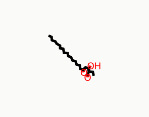 CCCCCCCCCCCCCCCCCc1cc(O)c(CC)c(=O)o1